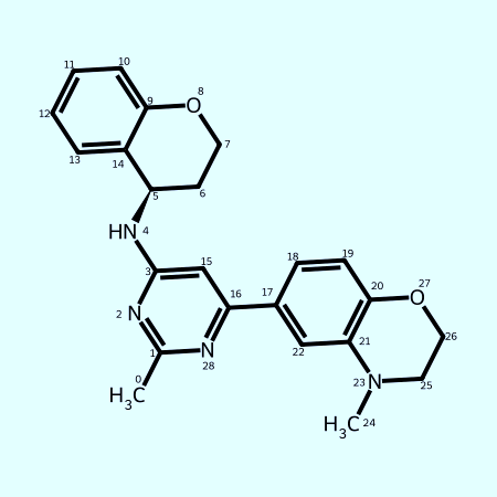 Cc1nc(N[C@@H]2CCOc3ccccc32)cc(-c2ccc3c(c2)N(C)CCO3)n1